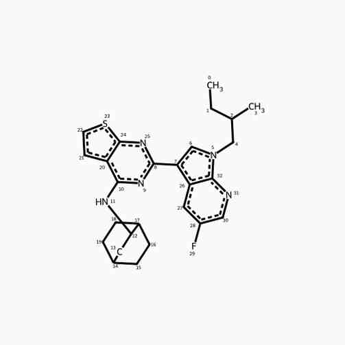 CCC(C)Cn1cc(-c2nc(NC3CC4CCC3CC4)c3ccsc3n2)c2cc(F)cnc21